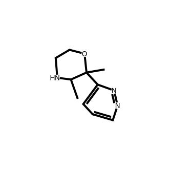 CC1NCCOC1(C)c1cccnn1